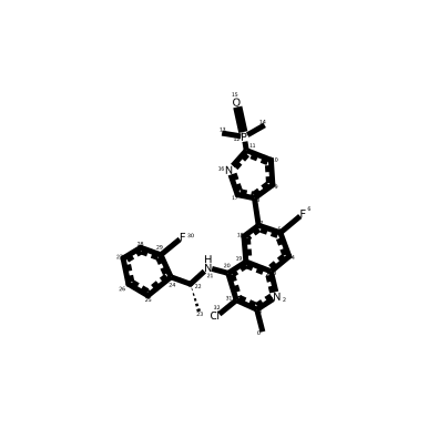 Cc1nc2cc(F)c(-c3ccc(P(C)(C)=O)nc3)cc2c(N[C@H](C)c2ccccc2F)c1Cl